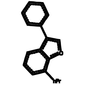 CCCc1cccc2c(-c3ccccc3)coc12